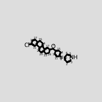 C1=CC=CNC=C1.O=C(c1ccc(F)cc1)C1C=c2c(ccc3c2=CCc2ccc(Cl)cc2-3)CC1